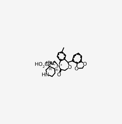 CC(=O)[C@@]1(C(=O)O)CNCC[C@H]1[N+]1(CC(C)(C)C)C(=O)COC(c2cccc3c2OCO3)c2cc(C)ccc21